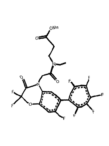 COC(=O)CCN(C)C(=O)CN1C(=O)C(F)(F)Oc2cc(F)c(-c3c(F)c(F)c(F)c(F)c3F)cc21